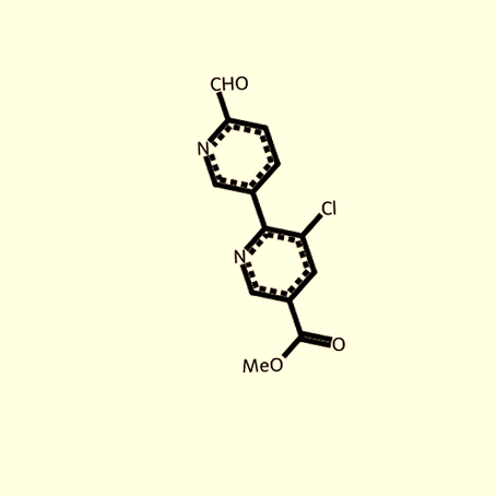 COC(=O)c1cnc(-c2ccc(C=O)nc2)c(Cl)c1